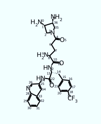 N[C@@H]1CN(C(=O)CC[C@H](N)C(=O)N[C@H](Cc2ccc(C(F)(F)F)cc2)C(=O)Nc2cnc3ccccc3c2)C[C@@H]1N